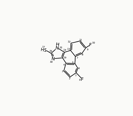 Fc1ccc2c(c1)c1cc(F)ccc1c1[nH]c(S)nc21